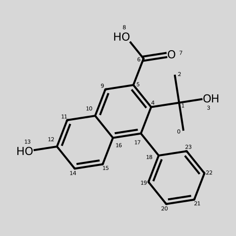 CC(C)(O)c1c(C(=O)O)cc2cc(O)ccc2c1-c1ccccc1